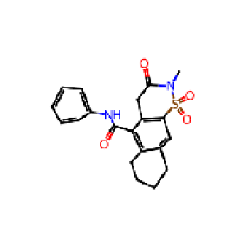 CN1C(=O)Cc2c(cc3c(c2C(=O)Nc2ccccc2)CCCC3)S1(=O)=O